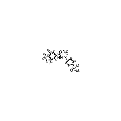 CCS(=O)(=O)c1ccc([C@@H](CC#N)NC(=O)c2cc(F)c(S(C)(C)C)c(F)c2)cc1